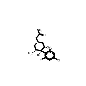 C[C@@H]1CN(CC(N)=O)C[C@H](C)[C@@]1(O)c1c(F)cc(Cl)cc1F